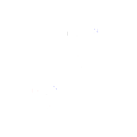 Cc1ncccc1OC(=O)C1CCN(C(=O)O)CC1